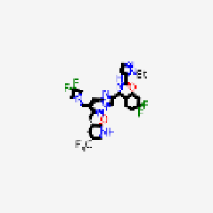 CCn1nccc1C(=O)N[C@H](c1cn2nc(C[C@H]3C[C@@H](C(F)(F)F)CNC3=O)c(CN3CC(F)(F)C3)cc2n1)C1CCC(F)(F)CC1